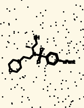 CCCCCc1ccc(S(=O)(=O)N(CCN2CCOCC2)[C@H](C)CS)cc1